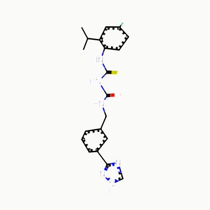 CC(C)c1cc(F)ccc1NC(=S)NC(=O)NCc1cccc(-c2nc[nH]n2)c1